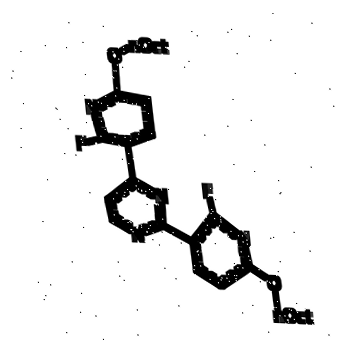 CCCCCCCCOc1ccc(-c2ccnc(-c3ccc(OCCCCCCCC)nc3F)n2)c(F)n1